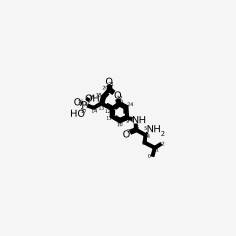 CC(C)C[C@H](N)C(=O)Nc1ccc2c(CP(=O)(O)O)cc(=O)oc2c1